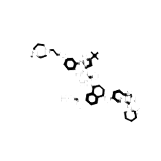 C[C@H]1CCCCN1c1nnc2ccc(O[C@@H]3CC[C@H](NC(=O)Nc4cc(C(C)(C)C)nn4-c4cccc(OCCN5CCCN(C)CC5)c4)c4ccccc43)cn12.O=CO